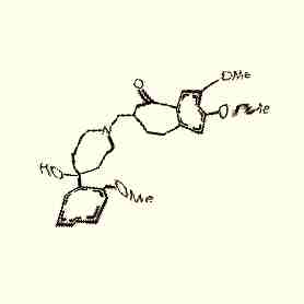 COc1cc2c(cc1OC)C(=O)C(CN1CCC(O)(c3ccccc3OC)CC1)CC2